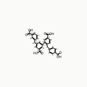 O=C(O)c1ccc(Cc2ccc(C(=O)O)cc2-c2cc(Cc3cccc(C(=O)O)c3)cc(C(=O)O)c2)cc1